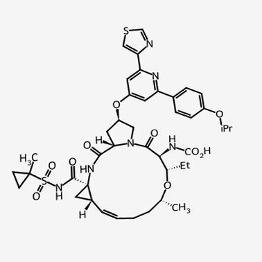 CC[C@@H]1O[C@H](C)CCC=C[C@@H]2C[C@@]2(C(=O)NS(=O)(=O)C2(C)CC2)NC(=O)[C@@H]2C[C@@H](Oc3cc(-c4ccc(OC(C)C)cc4)nc(-c4cscn4)c3)CN2C(=O)[C@H]1NC(=O)O